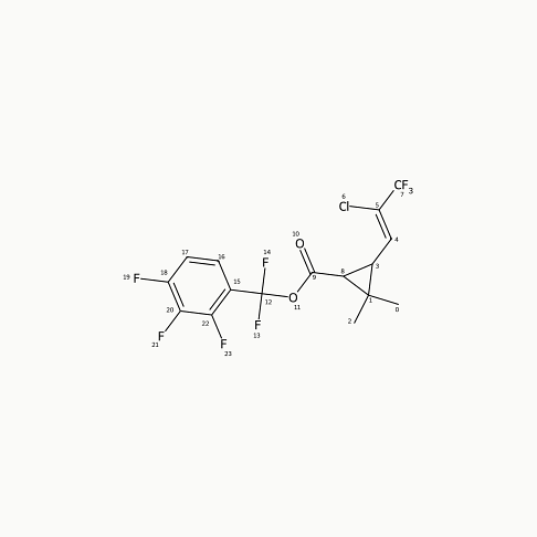 CC1(C)C(C=C(Cl)C(F)(F)F)C1C(=O)OC(F)(F)c1ccc(F)c(F)c1F